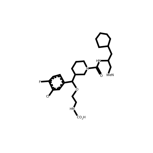 CNCC(CC1CCCCC1)NC(=O)N1CCCC(C(OCCNC(=O)O)c2ccc(F)c(Cl)c2)C1